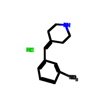 Cl.O=[N+]([O-])c1cccc(C=C2CCNCC2)c1